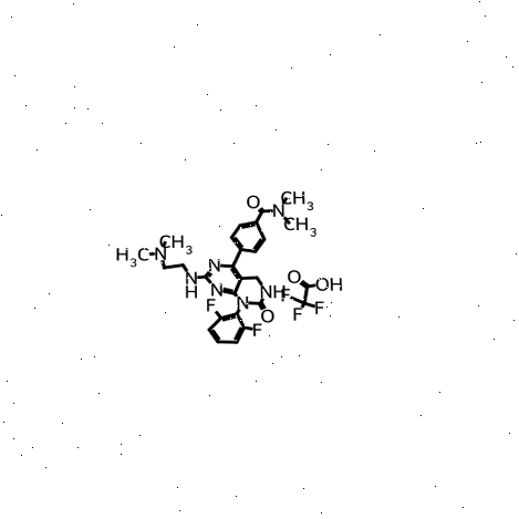 CN(C)CCNc1nc(-c2ccc(C(=O)N(C)C)cc2)c2c(n1)N(c1c(F)cccc1F)C(=O)NC2.O=C(O)C(F)(F)F